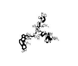 CO[C@H]1[C@@H](OP(=O)(OC[C@H]2O[C@@H](n3[nH]c4c(N)ncnc43)C[C@H]2O)SCOC(=O)CCCC(C)C2CCC3C4CCC5CC(O)CCC5(C)C4CC(O)C23C)[C@@H](CO)O[C@H]1n1ccc(=O)[nH]c1=O